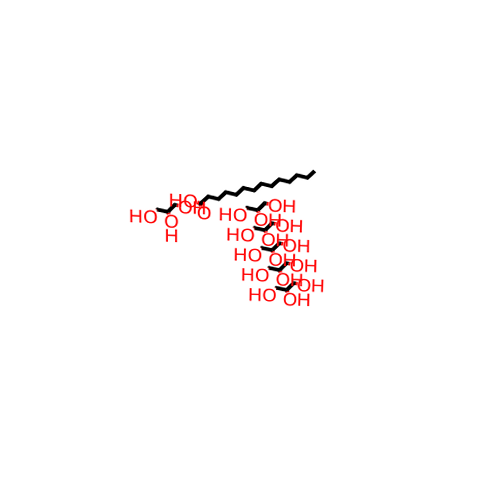 CCCCCCCCCCCCCC(=O)O.OCC(O)CO.OCC(O)CO.OCC(O)CO.OCC(O)CO.OCC(O)CO.OCC(O)CO